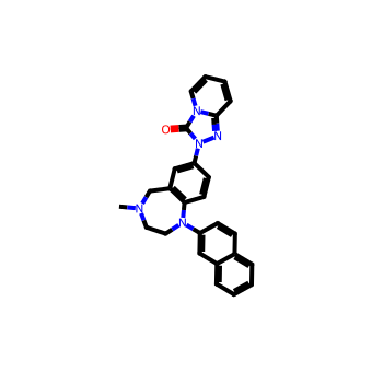 CN1CCN(c2ccc3ccccc3c2)c2ccc(-n3nc4ccccn4c3=O)cc2C1